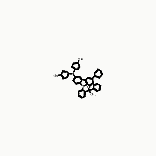 CC(C)(C)c1ccc(N(c2ccc(C(C)(C)C)cc2)c2ccc3c(c2)c2cc(-c4ccccc4)ccc2n3-c2ccccc2C(C)(C)c2ccccc2)cc1